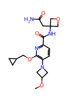 COC1CN(c2ccc(C(=O)NC3(CC(N)=O)COC3)nc2OCC2CC2)C1